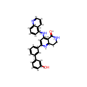 O=C1NCCc2nc(-c3cccc(-c4cccc(O)c4)c3)cc(Nc3cccc4ncccc34)c21